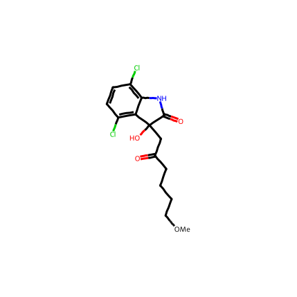 COCCCCC(=O)CC1(O)C(=O)Nc2c(Cl)ccc(Cl)c21